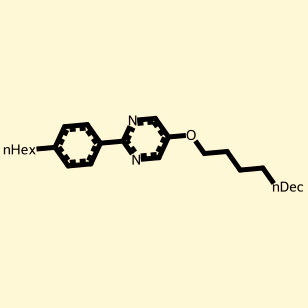 CCCCCCCCCCCCCCOc1cnc(-c2ccc(CCCCCC)cc2)nc1